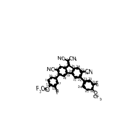 N#CC(C#N)=C1c2cc(C#N)c(-c3ccc(OC(F)(F)F)c(F)c3)cc2-c2cc(-c3ccc(OC(F)(F)F)c(F)c3)c(C#N)cc21